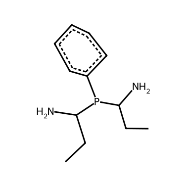 CCC(N)P(c1ccccc1)C(N)CC